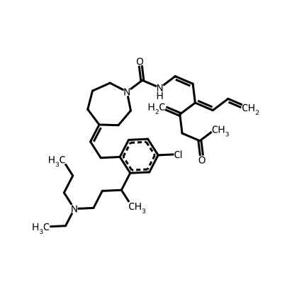 C=C/C=C(\C=C/NC(=O)N1CCC/C(=C/Cc2ccc(Cl)cc2C(C)CCN(CC)CCC)CC1)C(=C)CC(C)=O